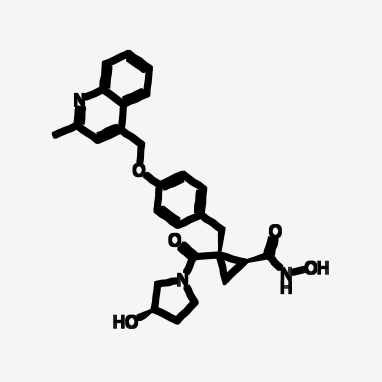 Cc1cc(COc2ccc(C[C@]3(C(=O)N4CC[C@@H](O)C4)C[C@@H]3C(=O)NO)cc2)c2ccccc2n1